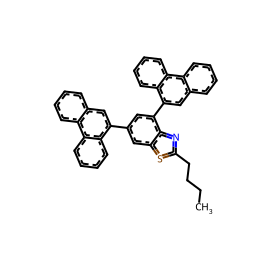 CCCCc1nc2c(-c3cc4ccccc4c4ccccc34)cc(-c3cc4ccccc4c4ccccc34)cc2s1